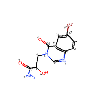 NC(=O)C(O)Cn1cnc2ccc(Br)cc2c1=O